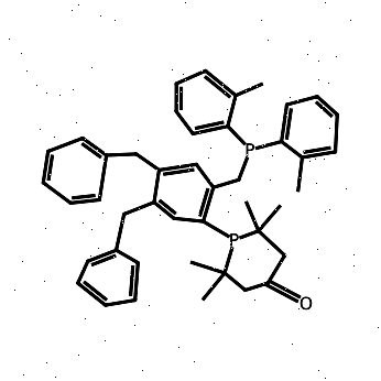 Cc1ccccc1P(Cc1cc(Cc2ccccc2)c(Cc2ccccc2)cc1P1C(C)(C)CC(=O)CC1(C)C)c1ccccc1C